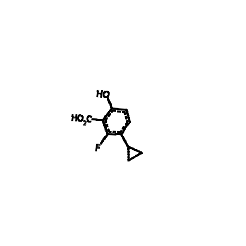 O=C(O)c1c(O)ccc(C2CC2)c1F